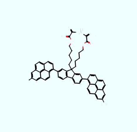 C=C(C)C(=O)OCCCCCC1(CCCCCOC(=O)C(=C)C)c2cc(-c3ccc4ccc5cc(C(C)(C)C)cc6ccc3c4c56)ccc2-c2ccc(-c3ccc4ccc5cc(C(C)(C)C)cc6ccc3c4c56)cc21